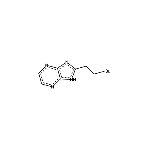 CCC(C)CCc1nc2nccnc2[nH]1